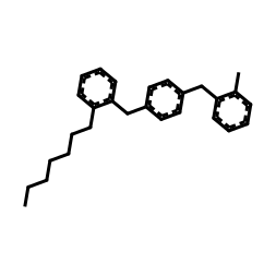 CCCCCCCc1ccccc1Cc1ccc(Cc2ccccc2C)cc1